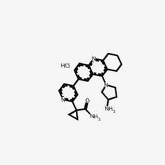 Cl.NC(=O)C1(c2cc(-c3ccc4nc5c(c(N6CCC(N)C6)c4c3)CCCC5)ccn2)CC1